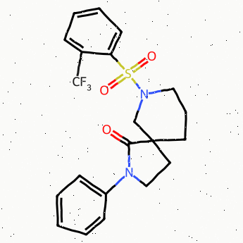 O=C1N(c2ccccc2)CCC12CCCN(S(=O)(=O)c1ccccc1C(F)(F)F)C2